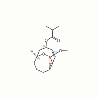 COc1ccc2c3c1O[C@H](CCC2)C[C@@H](OC(=O)C(C)C)/C=C\3